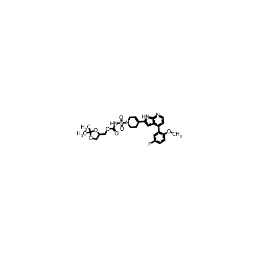 COc1ccc(F)cc1-c1ccnc2[nH]c(C3=CCN(S(=O)(=O)NC(=O)OCC4COC(C)(C)O4)CC3)cc12